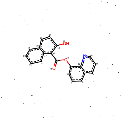 O=C(Oc1cccc2cccnc12)c1c(O)ccc2ccccc12